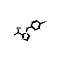 CC(O)c1nccn1Cc1ccc(I)cc1